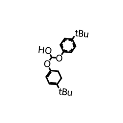 CC(C)(C)C1=CC=C(OC(O)Oc2ccc(C(C)(C)C)cc2)CC1